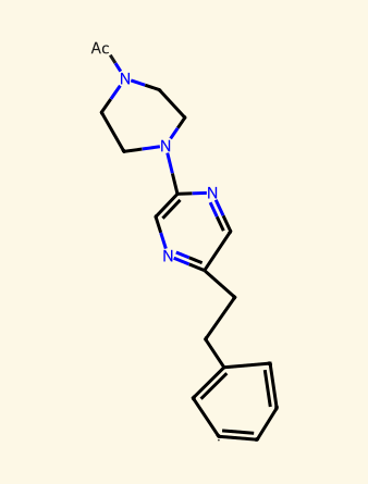 CC(=O)N1CCN(c2cnc(CCc3c[c]ccc3)cn2)CC1